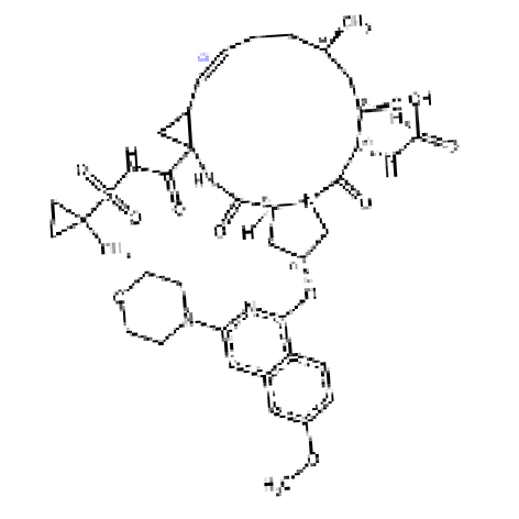 COc1ccc2c(O[C@@H]3C[C@H]4C(=O)NC5(C(=O)NS(=O)(=O)C6(C)CC6)CC5/C=C\CC[C@@H](C)C[C@@H](C)[C@H](NC(=O)O)C(=O)N4C3)nc(N3CCOCC3)cc2c1